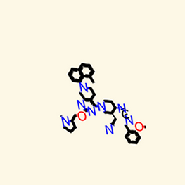 COc1ccccc1CN=C=N[C@@H]1CCN(c2nc(OCC3CCCN3C)nc3c2CCN(c2cccc4cccc(C)c24)C3)C[C@@H]1CC#N